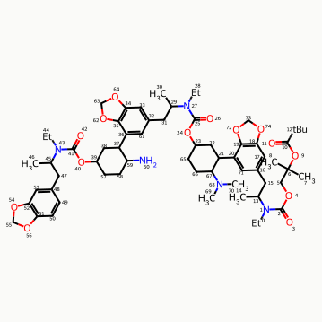 CCN(C(=O)OCC(C)(C)OC(=O)C(C)(C)C)C(C)Cc1cc2c(c(C3CC(OC(=O)N(CC)C(C)Cc4cc5c(c(C6CC(OC(=O)N(CC)C(C)Cc7ccc8c(c7)OCO8)CCC6N)c4)OCO5)CCC3N(C)C)c1)OCO2